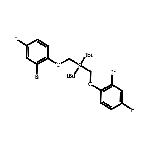 CC(C)(C)[Si](COc1ccc(F)cc1Br)(COc1ccc(F)cc1Br)C(C)(C)C